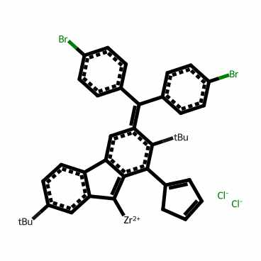 CC(C)(C)c1ccc2c(c1)[C]([Zr+2])=c1c-2cc(=C(c2ccc(Br)cc2)c2ccc(Br)cc2)c(C(C)(C)C)c1C1=CC=CC1.[Cl-].[Cl-]